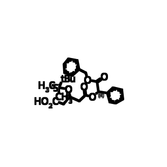 CC(C)(C)[Si](C)(C)O[C@H](CC(=O)O)CC(=O)O[C@@H](C(=O)OCc1ccccc1)c1ccccc1